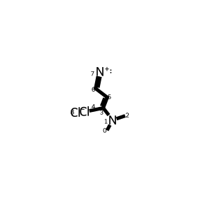 CN(C)C(Cl)=CC=[N+].[Cl-]